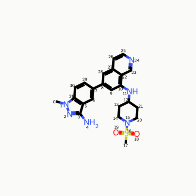 Cn1nc(N)c2cc(-c3cc(NC4CCN(S(C)(=O)=O)CC4)c4cnccc4c3)ccc21